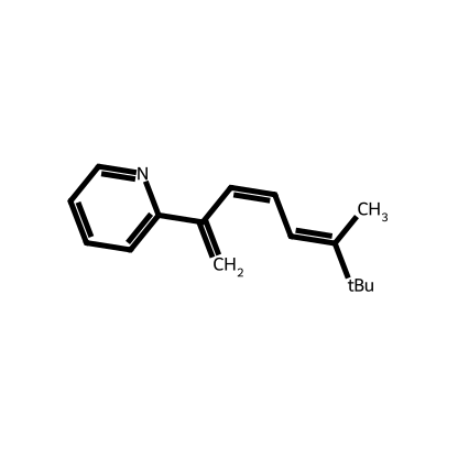 C=C(/C=C\C=C(/C)C(C)(C)C)c1ccccn1